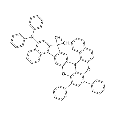 CC1(C)c2cc3c(cc2-c2c1cc(N(c1ccccc1)c1ccccc1)c1ccccc21)Oc1c(-c2ccccc2)cc(-c2ccccc2)c2c1B3c1c(ccc3ccccc13)O2